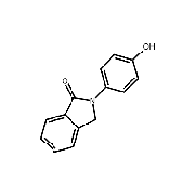 O=C1c2ccccc2CN1c1ccc(O)cc1